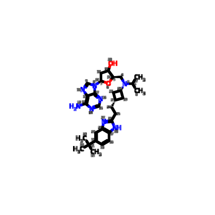 CC(C)N(C[C@H]1O[C@@H](n2cnc3c(N)ncnc32)CC1O)[C@H]1C[C@@H](CCc2nc3cc(C(C)(C)C)ccc3[nH]2)C1